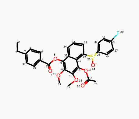 CCc1ccc(C(=O)Oc2c(OC)c(OC)c(OC(C)=O)c3c([S+]([O-])c4ccc(F)cc4)cccc23)cc1